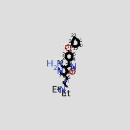 CCN(CC)C/C=C/c1cnc(N)c2c(-c3ccc(Oc4ccccc4)cc3)noc12